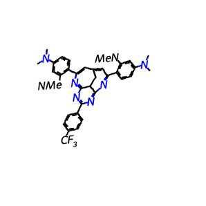 CNc1cc(N(C)C)ccc1C1=CC2=CC(c3ccc(N(C)C)cc3NC)=NC3=NC(c4ccc(C(F)(F)F)cc4)=NC(=N1)C3C2